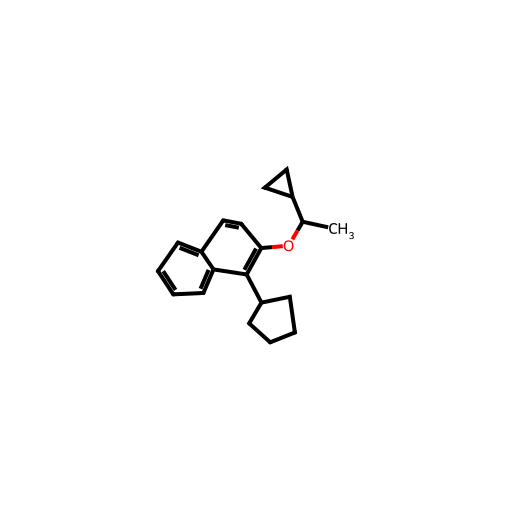 CC(Oc1ccc2ccccc2c1C1CCCC1)C1CC1